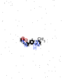 Cc1ccnc(Nc2cccc(-c3cnn(CN4CCOC4=O)c3)c2)n1